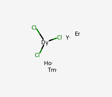 [Cl][Dy]([Cl])[Cl].[Er].[Ho].[Tm].[Y]